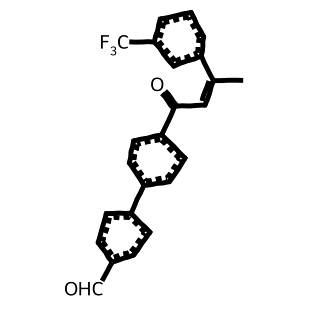 C/C(=C/C(=O)c1ccc(-c2ccc(C=O)cc2)cc1)c1cccc(C(F)(F)F)c1